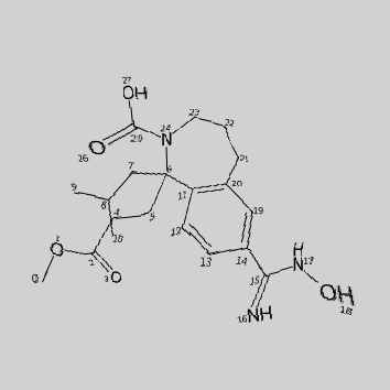 COC(=O)CCC1(CC(C)C)c2ccc(C(=N)NO)cc2CCCN1C(=O)O